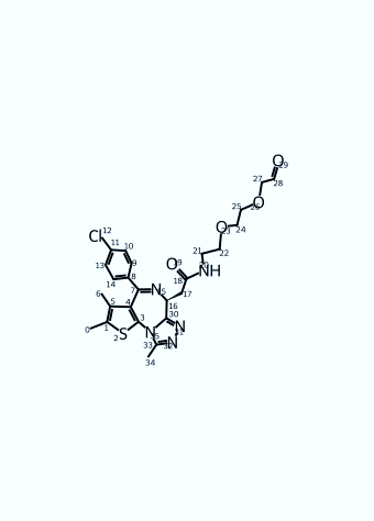 Cc1sc2c(c1C)C(c1ccc(Cl)cc1)=N[C@@H](CC(=O)NCCOCCOCC=O)c1nnc(C)n1-2